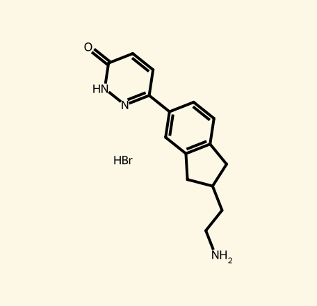 Br.NCCC1Cc2ccc(-c3ccc(=O)[nH]n3)cc2C1